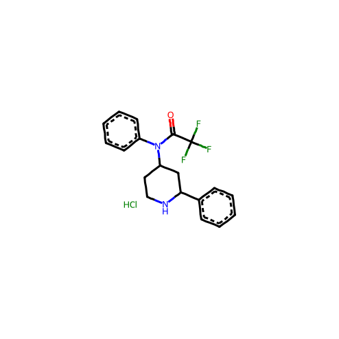 Cl.O=C(N(c1ccccc1)C1CCNC(c2ccccc2)C1)C(F)(F)F